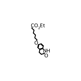 CCOC(=O)CCCCCCOc1ccc2c(c1)CCC(=O)N2